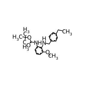 CCc1ccc(CNc2c(NC(=O)OC(C)(C)C)cccc2OC)cc1